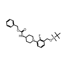 CC(C)(C)[Si](C)(C)OCc1cccc(N2CCC(NC(=O)OCc3ccccc3)CC2)c1F